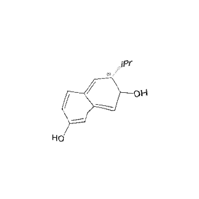 CC(C)[C@H]1C=c2ccc(O)cc2=CC1O